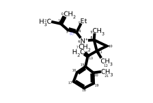 C=C(C)/C=C(\CC)[N+](=C)C1(C)CC1(C)C(=C)c1ccccc1C